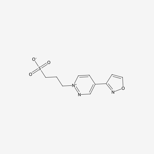 O=S(=O)([O-])CCC[n+]1ccc(-c2ccon2)cn1